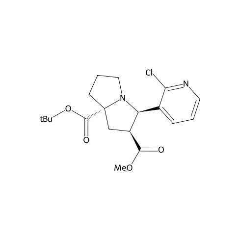 COC(=O)[C@H]1C[C@@]2(C(=O)OC(C)(C)C)CCCN2[C@H]1c1cccnc1Cl